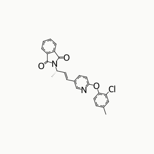 Cc1ccc(Oc2ccc(/C=C/[C@H](C)N3C(=O)c4ccccc4C3=O)cn2)c(Cl)c1